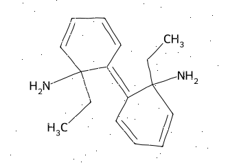 CCC1(N)C=CC=CC1=C1C=CC=CC1(N)CC